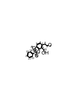 COc1ccc(CC=O)c(CO)c1OS(=O)(=O)c1ccccc1